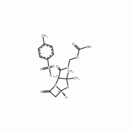 Cc1ccc(S(=O)(=O)O[C@@]2(C(=O)OCOC(=O)C(C)(C)C)N3C(=O)C[C@H]3SC2(C)C)cc1